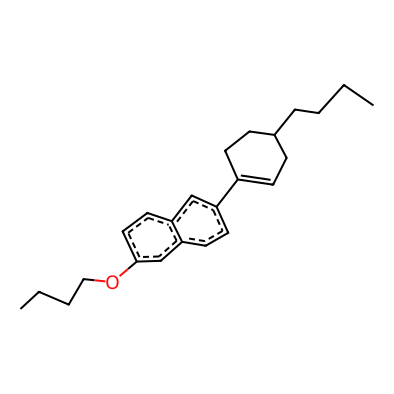 CCCCOc1ccc2cc(C3=CCC(CCCC)CC3)ccc2c1